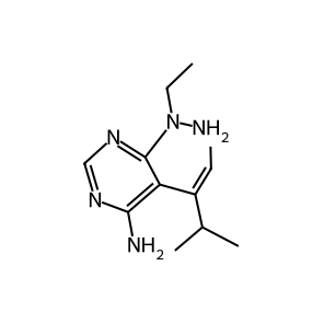 C/C=C(\c1c(N)ncnc1N(N)CC)C(C)C